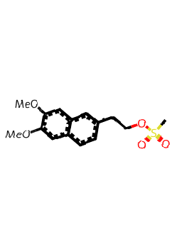 COc1cc2ccc(CCOS(C)(=O)=O)cc2cc1OC